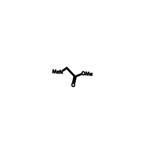 [CH2]NCC(=O)OC